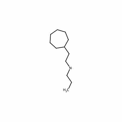 CCC[N]CCC1CCCCCC1